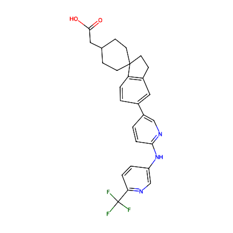 O=C(O)CC1CCC2(CCc3cc(-c4ccc(Nc5ccc(C(F)(F)F)nc5)nc4)ccc32)CC1